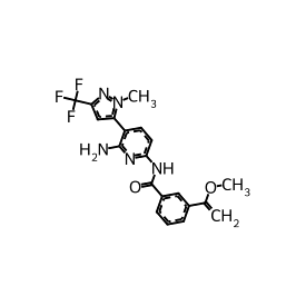 C=C(OC)c1cccc(C(=O)Nc2ccc(-c3cc(C(F)(F)F)nn3C)c(N)n2)c1